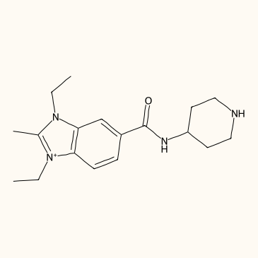 CCn1c(C)[n+](CC)c2ccc(C(=O)NC3CCNCC3)cc21